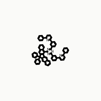 c1ccc(-c2cccc(-c3cccc(-c4nc(-c5cccc(-c6cccc(-c7ccccc7)n6)c5)nc(-c5c6c(cc7ccccc57)C(c5ccccc5)(c5ccccc5)c5cc7ccccc7cc5-6)n4)c3)n2)cc1